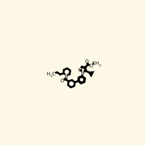 CCCC1CCCCN1C(=O)C1CCCC(c2cccc(-n3ncc(C(=O)OC)c3C3CC3)c2)C1